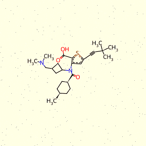 CN(C)CC1CC(N(c2cc(C#CC(C)(C)C)sc2C(=O)O)C(=O)[C@H]2CC[C@@H](C)CC2)C1